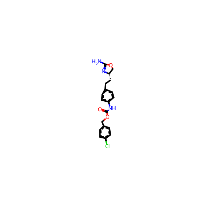 NC1=N[C@@H](CCc2ccc(NC(=O)OCc3ccc(Cl)cc3)cc2)CO1